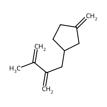 C=C1CCC(CC(=C)C(=C)C)C1